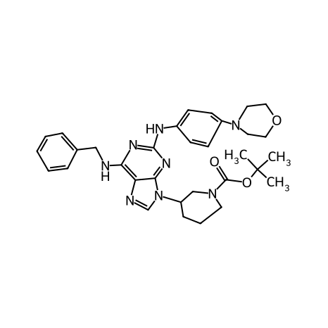 CC(C)(C)OC(=O)N1CCCC(n2cnc3c(NCc4ccccc4)nc(Nc4ccc(N5CCOCC5)cc4)nc32)C1